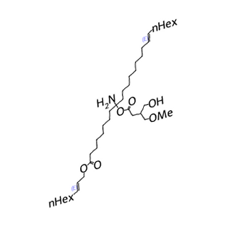 CCCCCC/C=C/CCCCCCCCC(N)(CCCCCCCC(=O)OC/C=C/CCCCCC)OC(=O)CC(CO)COC